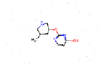 C[C@H]1CNC[C@@H](Oc2nccc(O)n2)C1